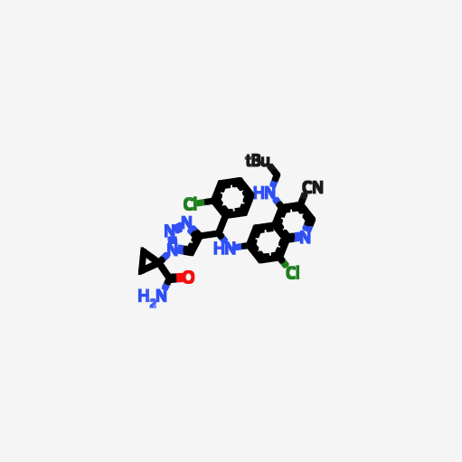 CC(C)(C)CNc1c(C#N)cnc2c(Cl)cc(NC(c3cn(C4(C(N)=O)CC4)nn3)c3ccccc3Cl)cc12